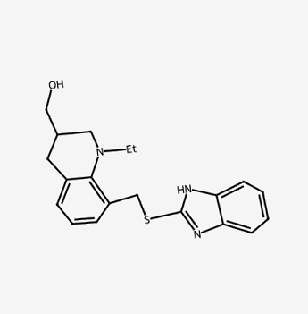 CCN1CC(CO)Cc2cccc(CSc3nc4ccccc4[nH]3)c21